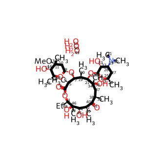 CC[C@H]1OC(=O)[C@H](C)[C@@H](O[C@H]2C[C@@](C)(OC)[C@@H](O)[C@H](C)O2)[C@@H](C)[C@@H](O[C@@H]2O[C@H](C)C[C@H](N(C)C)[C@H]2O)[C@](C)(O)C[C@@H](C)C(=O)[C@H](C)[C@H](O)[C@]1(C)O.O.O.O